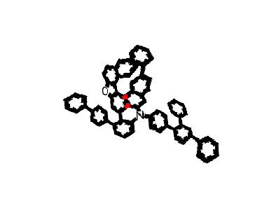 c1ccc(-c2ccc(-c3cccc(N(c4ccc(-c5ccc(-c6ccccc6)cc5-c5ccccc5)cc4)c4ccc5cc(-c6ccccc6)ccc5c4)c3-c3ccc4c(c3)oc3ccc5ccccc5c34)cc2)cc1